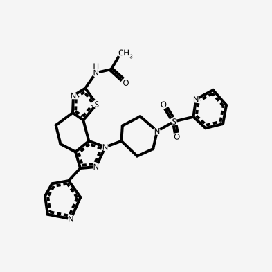 CC(=O)Nc1nc2c(s1)-c1c(c(-c3cccnc3)nn1C1CCN(S(=O)(=O)c3ccccn3)CC1)CC2